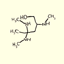 CNC(CO)CC(C)(NC)NC